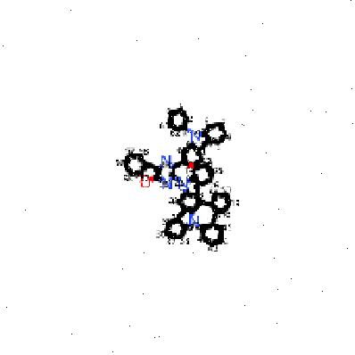 c1ccc(-n2c3ccccc3c3ccc(-c4nc5c(nc4-n4c6ccccc6c6c7c8c(cc64)c4ccccc4n8-c4ccccc4-c4ccccc4-7)oc4ccccc45)cc32)cc1